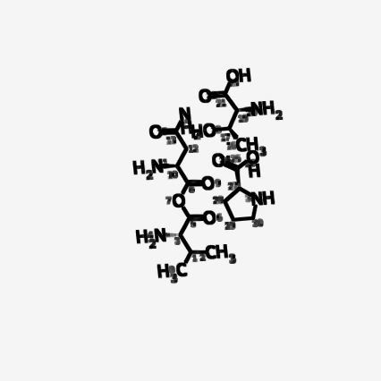 CC(C)[C@H](N)C(=O)OC(=O)[C@@H](N)CC(N)=O.C[C@@H](O)[C@H](N)C(=O)O.O=C(O)[C@@H]1CCCN1